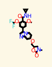 COc1cc(-c2cnc3cc(OCC4CN(C)C(=O)O4)ccn23)cc(OC(F)F)c1C(=O)NC1CC1